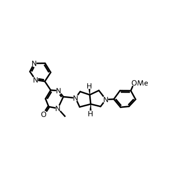 COc1cccc(N2C[C@@H]3CN(c4nc(-c5ccncn5)cc(=O)n4C)C[C@@H]3C2)c1